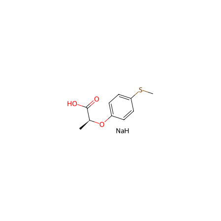 CSc1ccc(O[C@@H](C)C(=O)O)cc1.[NaH]